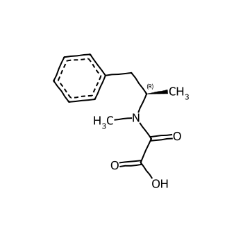 C[C@H](Cc1ccccc1)N(C)C(=O)C(=O)O